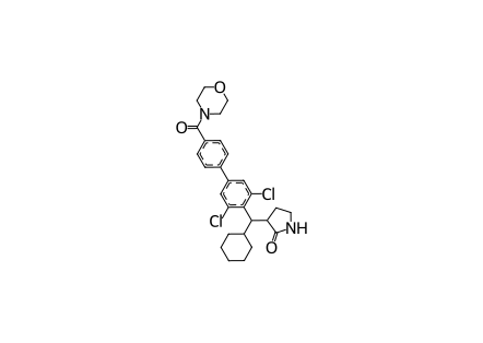 O=C1NCCC1C(c1c(Cl)cc(-c2ccc(C(=O)N3CCOCC3)cc2)cc1Cl)C1CCCCC1